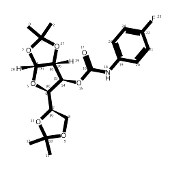 CC1(C)O[C@H]2O[C@H]([C@H]3COC(C)(C)O3)[C@H](OC(=O)Nc3ccc(F)cc3)[C@H]2O1